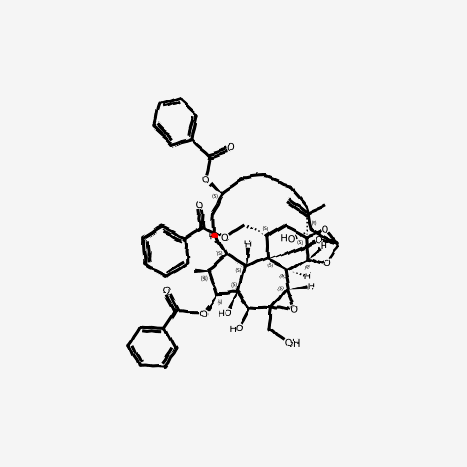 C=C(C)[C@@]12C[C@@H](COC(=O)c3ccccc3)[C@]34OC5(O[C@@H]1[C@H]3[C@@H]1OC1(CO)C(O)[C@]1(O)[C@@H](OC(=O)c3ccccc3)[C@@H](C)[C@H](CC[C@@H](OC(=O)c3ccccc3)CCCC[C@H]5O)[C@@H]14)O2